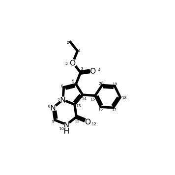 CCOC(=O)c1cn2nc[nH]c(=O)c2c1-c1ccccc1